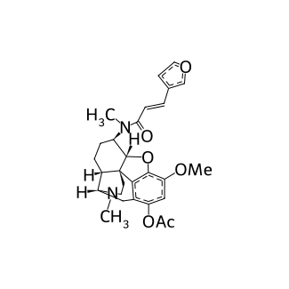 COc1cc(OC(C)=O)c2c3c1O[C@H]1[C@H](N(C)C(=O)/C=C/c4ccoc4)CC[C@H]4[C@@H](C2)N(C)CC[C@@]341